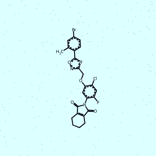 Cc1cc(Br)ccc1-c1nc(COc2cc(N3C(=O)C4=C(CCCC4)C3=O)c(F)cc2Cl)no1